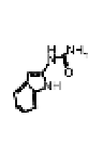 NC(=O)Nc1[c]c2ccccc2[nH]1